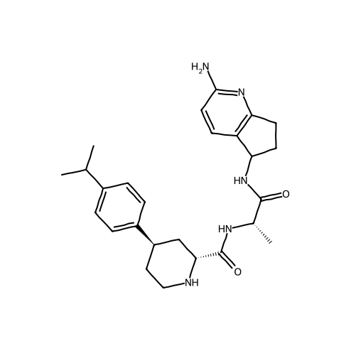 CC(C)c1ccc([C@@H]2CCN[C@@H](C(=O)N[C@@H](C)C(=O)NC3CCc4nc(N)ccc43)C2)cc1